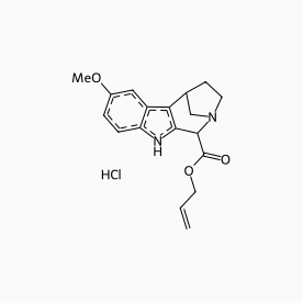 C=CCOC(=O)C1c2[nH]c3ccc(OC)cc3c2C2CCN1C2.Cl